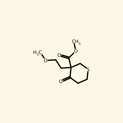 COCCC1(C(=O)OC)CSCCC1=O